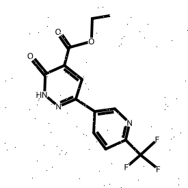 CCOC(=O)c1cc(-c2ccc(C(F)(F)F)nc2)n[nH]c1=O